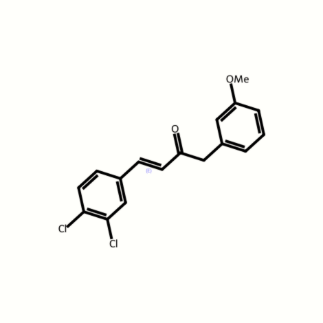 COc1cccc(CC(=O)/C=C/c2ccc(Cl)c(Cl)c2)c1